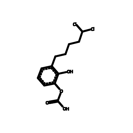 O=C(O)Oc1cccc(CCCCC(Cl)Cl)c1O